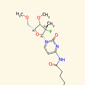 C=CCCCC(=O)Nc1ccn([C@@H]2O[C@H](COC)C(OC)[C@]2(C)F)c(=O)n1